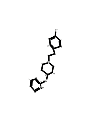 Fc1ccc(CCN2CCC(Sc3ccccn3)CC2)cc1